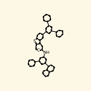 c1ccc(-c2cc(-c3ccccc3)cc(-c3ccc4sc5ccc(Nc6cc(-c7ccccc7)cc(-c7cccc8ccccc78)c6)cc5c4c3)c2)cc1